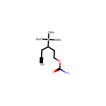 C#CCC(CCOC(N)=O)[Si](OC)(OC)OC